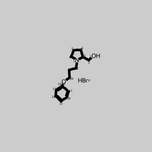 Br.OCC1CCCN1CCCOc1ccccc1